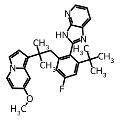 COc1ccn2ccc(C(C)(C)Cc3cc(F)cc(C(C)(C)C)c3-c3nc4cccnc4[nH]3)c2c1